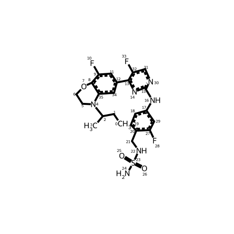 CCC(C)N1CCOc2c(F)cc(-c3nc(Nc4ccc(CNS(N)(=O)=O)c(F)c4)ncc3F)cc21